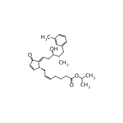 Cc1cccc(C[C@H](C)[C@H](O)C/C=C2/C(=O)C=C[C@@H]2C/C=C\CCCC(=O)OC(C)C)c1